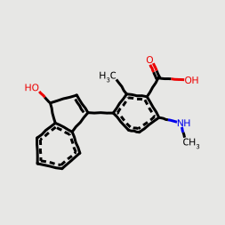 CNc1ccc(C2=CC(O)c3ccccc32)c(C)c1C(=O)O